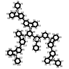 c1ccc(-c2nc(-c3cccc(-n4c5ccccc5c5cc(-c6ccc7c(c6)c6ccccc6n7-c6ccccc6)ccc54)c3)cc(-c3cc(-n4c5ccccc5c5cc(-c6ccc7c(c6)c6ccccc6n7-c6ccccc6)ccc54)cc(-n4c5ccccc5c5cc(-c6ccc7c(c6)c6ccccc6n7-c6ccccc6)ccc54)c3)n2)cc1